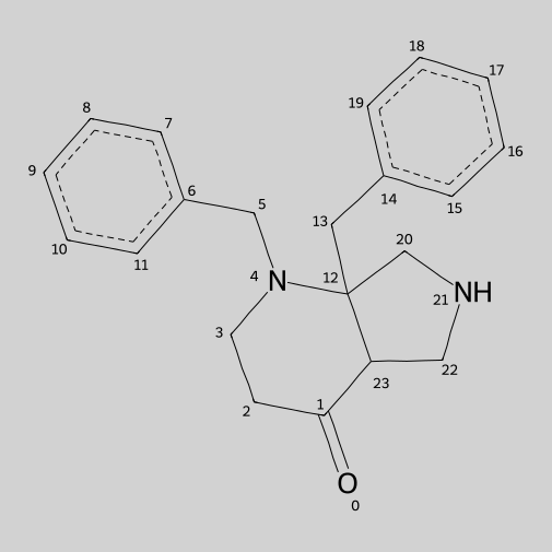 O=C1CCN(Cc2ccccc2)C2(Cc3ccccc3)CNCC12